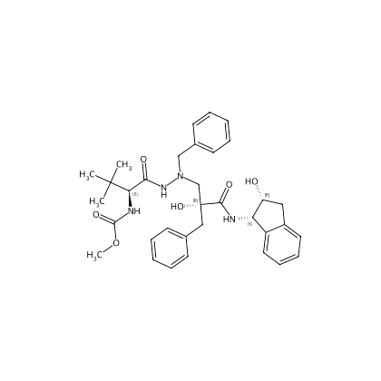 COC(=O)N[C@H](C(=O)NN(Cc1ccccc1)C[C@](O)(Cc1ccccc1)C(=O)N[C@H]1c2ccccc2C[C@H]1O)C(C)(C)C